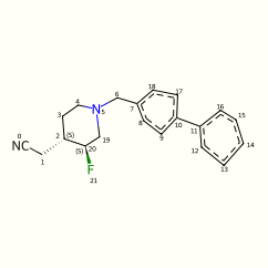 N#CC[C@@H]1CCN(Cc2ccc(-c3ccccc3)cc2)C[C@H]1F